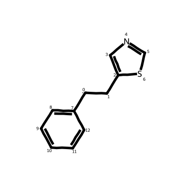 [CH](Cc1cncs1)c1ccccc1